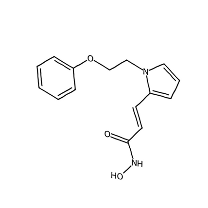 O=C(C=Cc1cccn1CCOc1ccccc1)NO